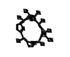 CCC1=C(C#N)c2nc1c(CC)c1c(CC)c(CC)c(c(CC)c3nc(c(CC)c4ccc([nH]4)c2CC)C=C3)n1CC